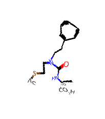 CC(=O)SCCN(CCc1ccccc1)C(=O)N[C@H](C)C(=O)O